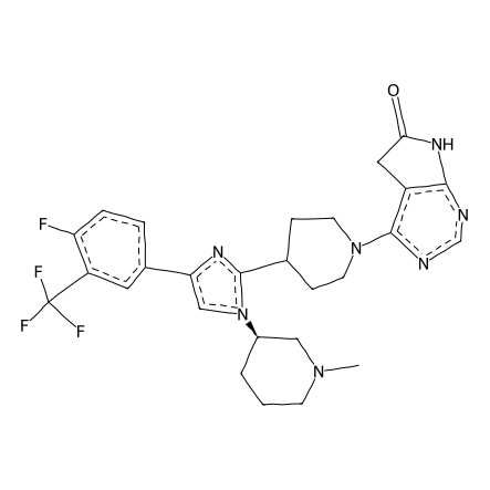 CN1CCC[C@@H](n2cc(-c3ccc(F)c(C(F)(F)F)c3)nc2C2CCN(c3ncnc4c3CC(=O)N4)CC2)C1